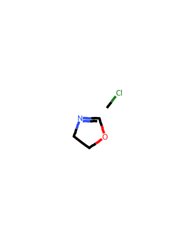 C1=NCCO1.CCl